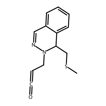 CSCC1c2ccccc2C=NN1CC=C=O